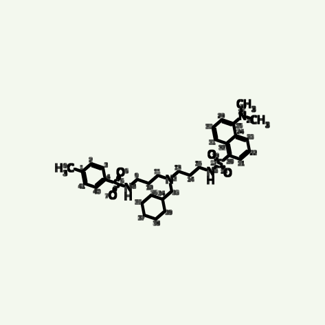 Cc1ccc(S(=O)(=O)NCCCN(CCCNS(=O)(=O)c2cccc3c(N(C)C)cccc23)CC2CCCCC2)cc1